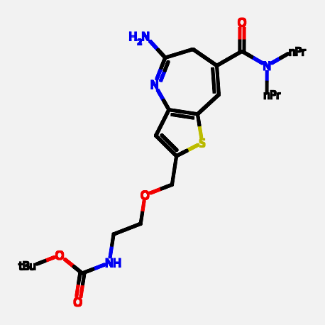 CCCN(CCC)C(=O)C1=Cc2sc(COCCNC(=O)OC(C)(C)C)cc2N=C(N)C1